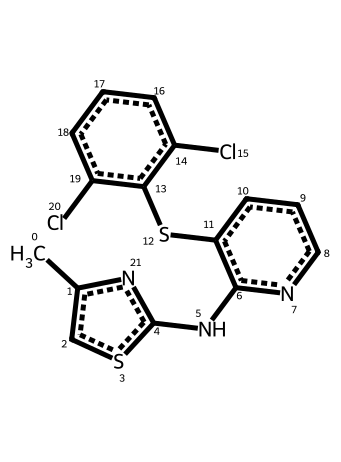 Cc1csc(Nc2ncccc2Sc2c(Cl)cccc2Cl)n1